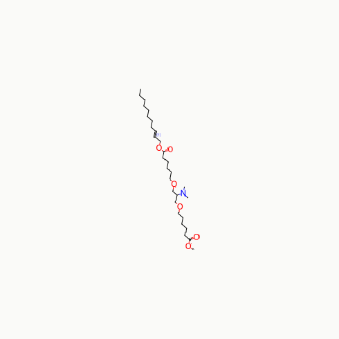 CCCCCCCC/C=C/COC(=O)CCCCCOCC(COCCCCCC(=O)OC)N(C)C